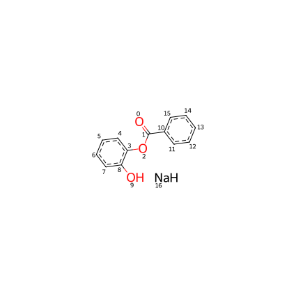 O=C(Oc1ccccc1O)c1ccccc1.[NaH]